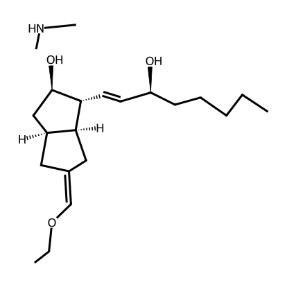 CCCCC[C@H](O)C=C[C@@H]1[C@H]2CC(=COCC)C[C@H]2C[C@H]1O.CNC